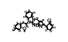 COCC(Cc1ccc(C)cc1)n1c(=N)n(Cc2cc(-c3ccccc3Cl)no2)c2ccccc21